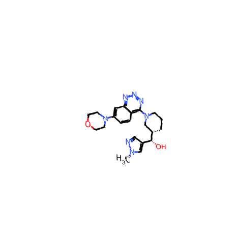 Cn1cc([C@@H](O)[C@H]2CCCN(c3nnnc4cc(N5CCOCC5)ccc34)C2)cn1